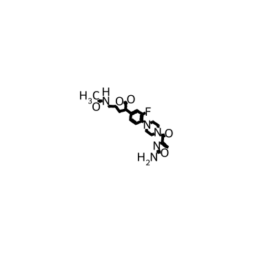 CC(=O)NCC1CC(c2ccc(N3CCN(C(=O)c4coc(N)n4)CC3)c(F)c2)C(=O)O1